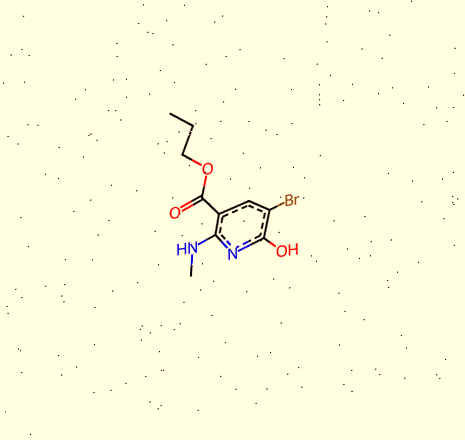 CCCOC(=O)c1cc(Br)c(O)nc1NC